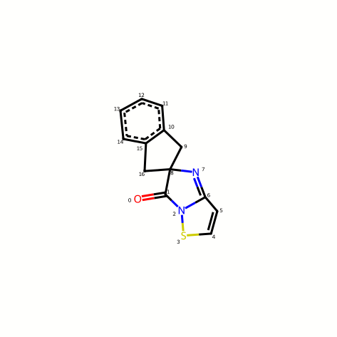 O=C1N2SC=CC2=NC12Cc1ccccc1C2